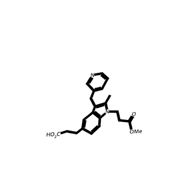 COC(=O)CCn1c(C)c(Cc2cccnc2)c2cc(CCC(=O)O)ccc21